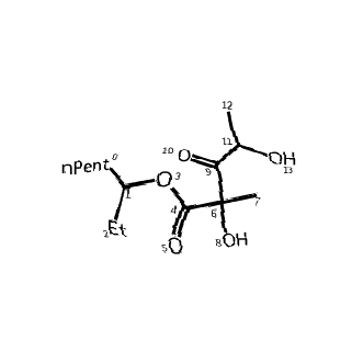 CCCCCC(CC)OC(=O)C(C)(O)C(=O)C(C)O